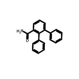 NC(=O)c1cccc(-c2ccccc2)c1-c1ccccc1